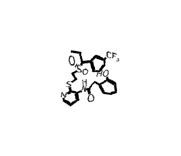 C=CC(c1cccc(C(F)(F)F)c1)S(=O)(=O)CCSc1ncccc1NC(=O)Cc1ccccc1O